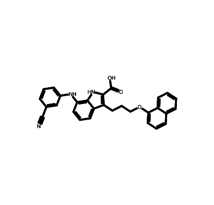 N#Cc1cccc(Nc2cccc3c(CCCOc4cccc5ccccc45)c(C(=O)O)[nH]c23)c1